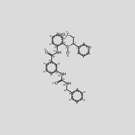 O=C(O)CC(c1cccnc1)[S+]([O-])c1ccccc1NC(=O)c1cccc(NC(=O)NCc2ccccc2)c1